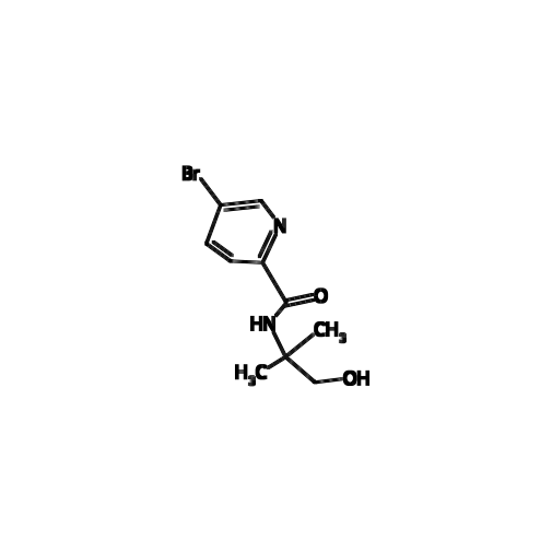 CC(C)(CO)NC(=O)c1ccc(Br)cn1